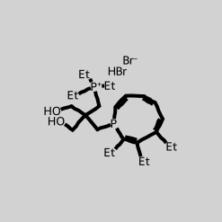 Br.CCc1cccccp(CC(CO)(CO)C[P+](CC)(CC)CC)c(CC)c1CC.[Br-]